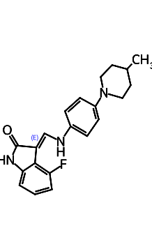 CC1CCN(c2ccc(N/C=C3/C(=O)Nc4cccc(F)c43)cc2)CC1